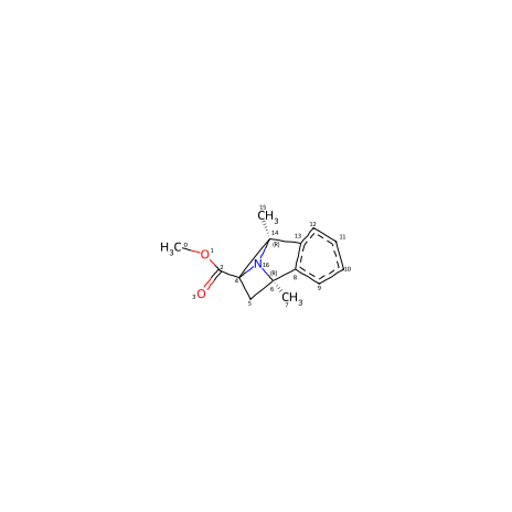 COC(=O)C12C[C@]3(C)c4ccccc4[C@@]1(C)N23